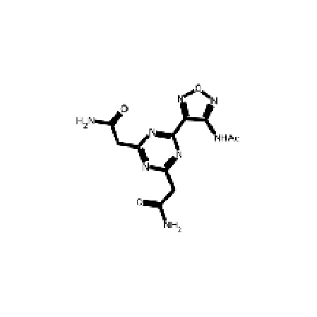 CC(=O)Nc1nonc1-c1nc(CC(N)=O)nc(CC(N)=O)n1